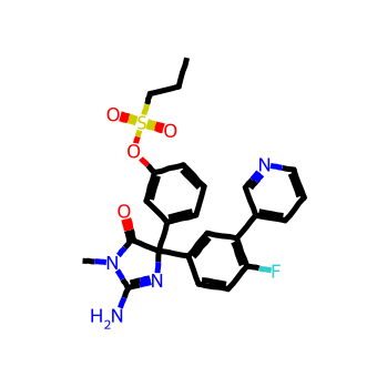 CCCS(=O)(=O)Oc1cccc(C2(c3ccc(F)c(-c4cccnc4)c3)N=C(N)N(C)C2=O)c1